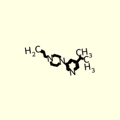 C=CCN1CCN(c2cncc(C(C)C)c2)CC1